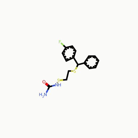 NC(=O)NSCCSC(c1ccccc1)c1ccc(F)cc1